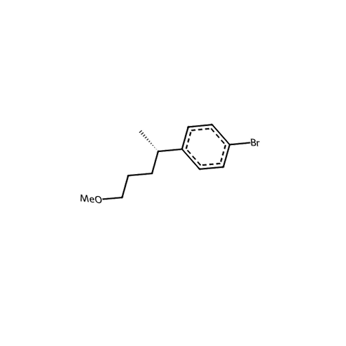 COCCC[C@H](C)c1ccc(Br)cc1